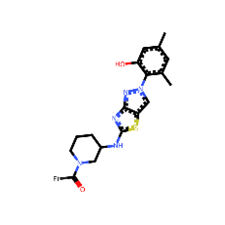 CCC(=O)N1CCCC(Nc2nc3nn(-c4c(C)cc(C)cc4O)cc3s2)C1